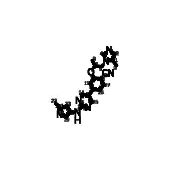 Cc1cncn1CC(C)Oc1cc(-c2cnc(Nc3cnn(C)c3)nc2)ccc1C#N